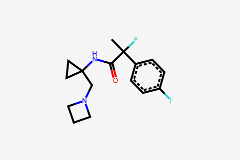 CC(F)(C(=O)NC1(CN2CCC2)CC1)c1ccc(F)cc1